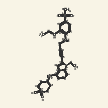 CS(=O)(=O)c1ccc(NCC#Cc2cc3c(NC4CCS(=O)(=O)CC4)cccc3n2CC(F)(F)F)c(OCC(F)(F)F)c1